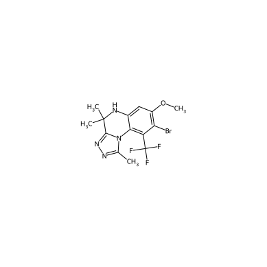 COc1cc2c(c(C(F)(F)F)c1Br)-n1c(C)nnc1C(C)(C)N2